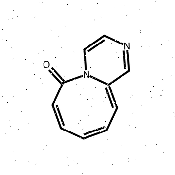 O=C1\C=C/C=C\C=C2\C=NC=CN12